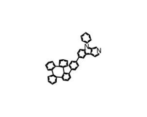 c1ccc(-n2c3ccc(-c4ccc(-c5cccc6c5-c5ccccc5-c5ccccc5-c5ccccc5-6)cc4)cc3c3ccncc32)cc1